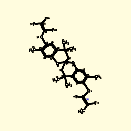 C/C(F)=C(\F)Oc1cc2c(cc1C)OC1(CC(C)(C)c3cc(OC(F)=C(F)F)c(C)cc3O1)CC2(C)C